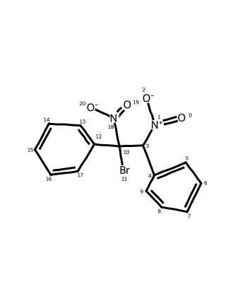 O=[N+]([O-])C(c1ccccc1)C(Br)(c1ccccc1)[N+](=O)[O-]